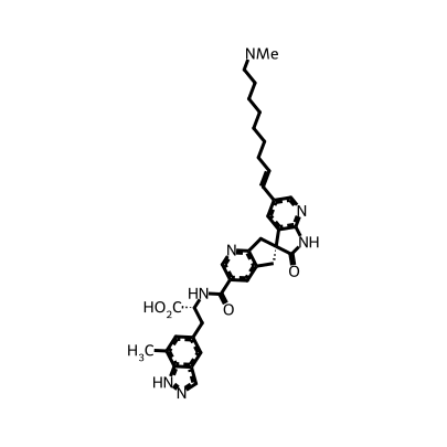 CNCCCCCCC/C=C/c1cnc2c(c1)[C@@]1(Cc3cc(C(=O)N[C@H](Cc4cc(C)c5[nH]ncc5c4)C(=O)O)cnc3C1)C(=O)N2